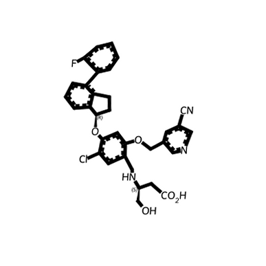 N#Cc1cncc(COc2cc(O[C@@H]3CCc4c(-c5ccccc5F)cccc43)c(Cl)cc2CN[C@H](CO)CC(=O)O)c1